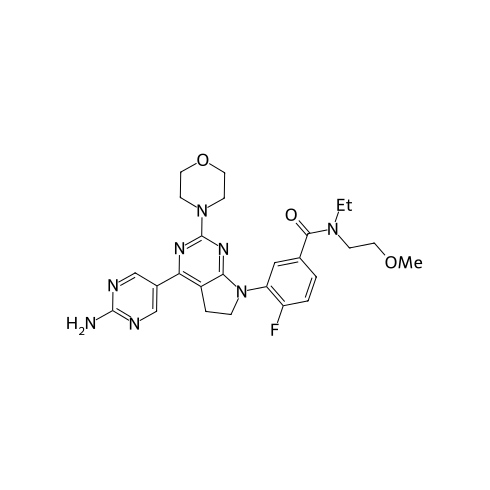 CCN(CCOC)C(=O)c1ccc(F)c(N2CCc3c(-c4cnc(N)nc4)nc(N4CCOCC4)nc32)c1